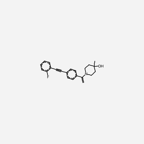 C=C(c1ccc(C#Cc2ccccc2F)cc1)N1CCC(C)(O)CC1